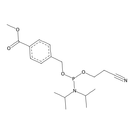 COC(=O)c1ccc(COP(OCCC#N)N(C(C)C)C(C)C)cc1